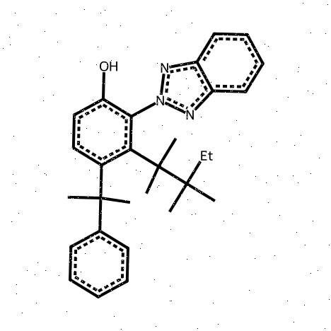 CCC(C)(C)C(C)(C)c1c(C(C)(C)c2ccccc2)ccc(O)c1-n1nc2ccccc2n1